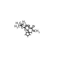 CN1CC2(CCCC2)C(OC(=O)OC(C)(C)C)N(O)C1=O